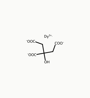 O=C([O-])CC(O)(CC(=O)[O-])C(=O)[O-].[Dy+3]